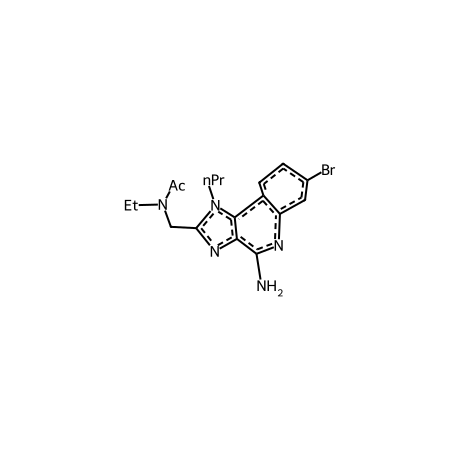 CCCn1c(CN(CC)C(C)=O)nc2c(N)nc3cc(Br)ccc3c21